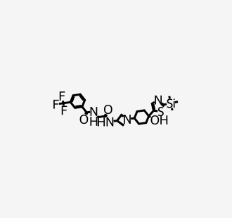 C[Si](C)(C)c1ncc(C2(O)CCC(N3CC(NC(=O)CNC(=O)c4cccc(C(F)(F)F)c4)C3)CC2)s1